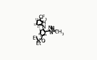 CCN(CC)C(=O)c1ccc(Nc2cccc(C(F)(F)F)c2)c(-c2nnn(C)n2)c1